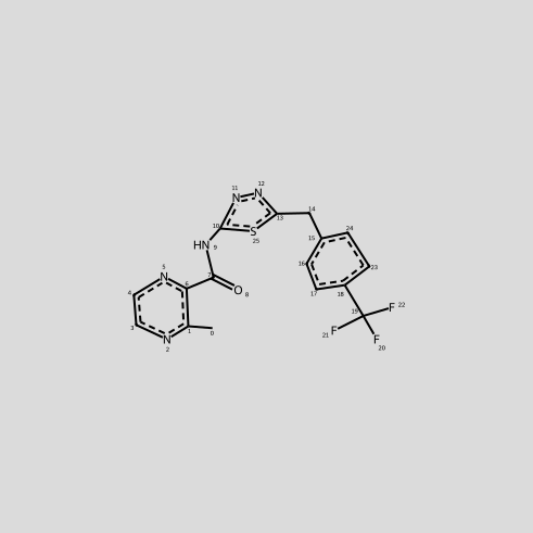 Cc1nccnc1C(=O)Nc1nnc(Cc2ccc(C(F)(F)F)cc2)s1